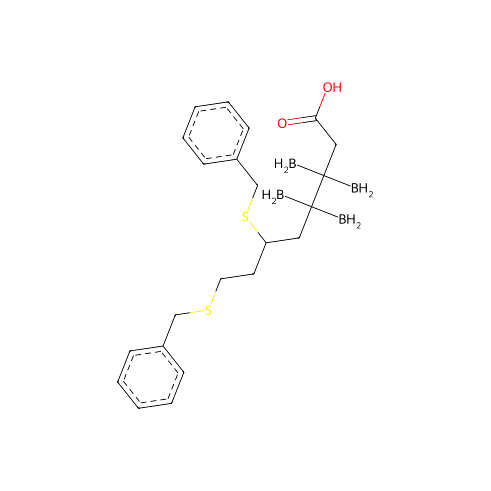 BC(B)(CC(=O)O)C(B)(B)CC(CCSCc1ccccc1)SCc1ccccc1